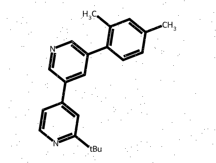 Cc1ccc(-c2cncc(-c3ccnc(C(C)(C)C)c3)c2)c(C)c1